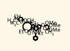 CC[C@H]1CCC[C@H](O[C@H]2CC[C@H](N(C)C)C(C)O2)[C@@H](C)C(=O)C2=C[C@H]3[C@@H]4C[C@H](O[C@@H]5OC(C)[C@H](OC)C(OC)C5OC)C[C@H]4c4c(nc(-c5ccccc5)n4CC)[C@H]3[C@@H]2CC(=O)O1